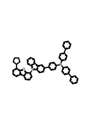 c1ccc(-c2ccc(N(c3ccc(-c4ccccc4)cc3)c3ccc(-c4ccc5c(c4)c4ccccc4n5-c4cccc5c4oc4c(C6CCCC6)cccc45)cc3)cc2)cc1